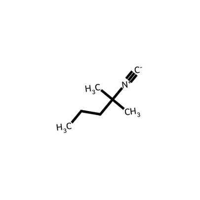 [C-]#[N+]C(C)(C)CCC